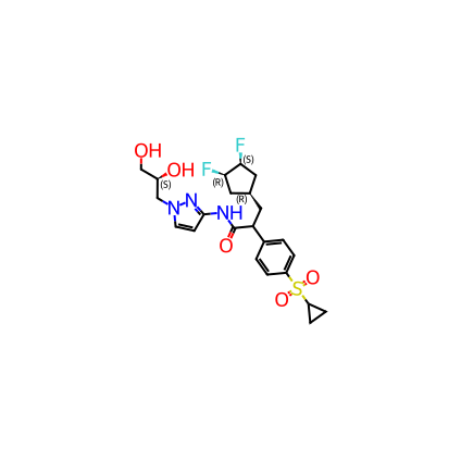 O=C(Nc1ccn(C[C@H](O)CO)n1)C(C[C@H]1C[C@@H](F)[C@@H](F)C1)c1ccc(S(=O)(=O)C2CC2)cc1